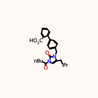 CCCCC(=O)n1cc(CC(C)C)n(Cc2ccc(-c3ccccc3C(=O)O)cc2)c1=O